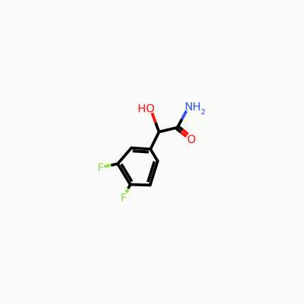 NC(=O)C(O)c1ccc(F)c(F)c1